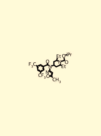 CCC1CC(N(C(=O)c2cc(C(F)(F)F)cc(C(F)(F)F)c2)c2cc(C)on2)CC(CC)N1C(=O)OC(C)C